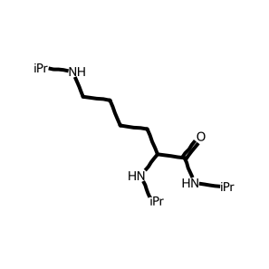 CC(C)NCCCCC(NC(C)C)C(=O)NC(C)C